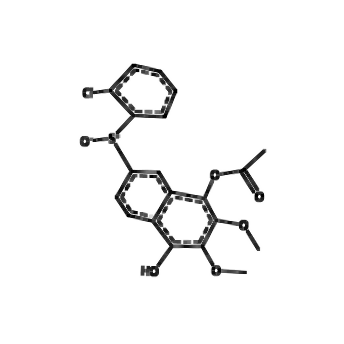 COc1c(OC)c(OC(C)=O)c2cc([S+]([O-])c3ccccc3Cl)ccc2c1O